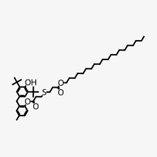 CCCCCCCCCCCCCCCCCCCCOC(=O)CCSCCC(=O)Oc1ccc(C)cc1Cc1cc(C(C)(C)C)c(O)c(C(C)(C)C)c1